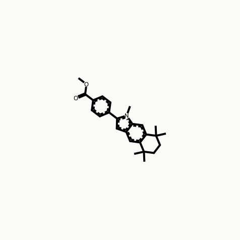 COC(=O)c1ccc(-c2cc3cc4c(cc3n2C)C(C)(C)CCC4(C)C)cc1